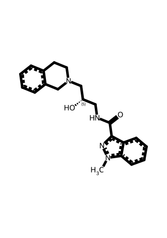 Cn1nc(C(=O)NC[C@H](O)CN2CCc3ccccc3C2)c2ccccc21